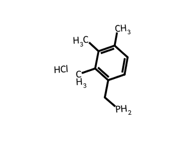 Cc1ccc(CP)c(C)c1C.Cl